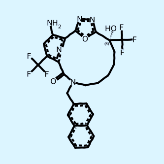 Nc1cc(C(F)(F)F)c2nc1-c1nnc(o1)[C@@](O)(C(F)(F)F)CCCCCN(Cc1ccc3ccccc3c1)C2=O